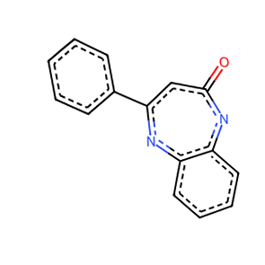 O=c1cc(-c2ccccc2)nc2ccccc2n1